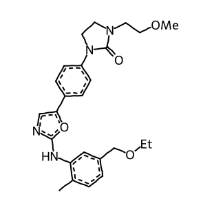 CCOCc1ccc(C)c(Nc2ncc(-c3ccc(N4CCN(CCOC)C4=O)cc3)o2)c1